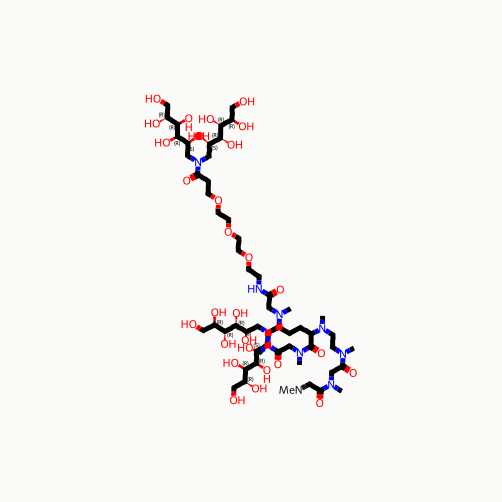 CNCC(=O)N(C)CC(=O)N(C)CCN(C)C(CCCN(C[C@H](O)[C@@H](O)[C@H](O)[C@H](O)CO)C[C@H](O)[C@@H](O)[C@H](O)[C@H](O)CO)C(=O)N(C)CC(=O)N(C)CCN(C)CC(=O)NCCOCCOCCOCCC(=O)N(C[C@H](O)[C@@H](O)[C@H](O)[C@H](O)CO)C[C@H](O)[C@@H](O)[C@H](O)[C@H](O)CO